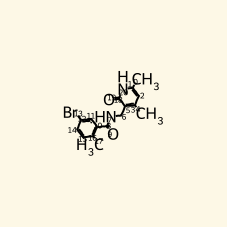 Cc1cc(C)c(CNC(=O)c2[c]c(Br)ccc2C)c(=O)[nH]1